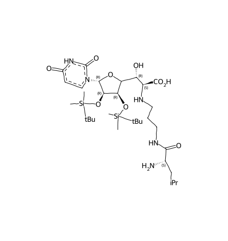 CC(C)C[C@H](N)C(=O)NCCCN[C@H](C(=O)O)[C@@H](O)C1O[C@@H](n2ccc(=O)[nH]c2=O)[C@H](O[Si](C)(C)C(C)(C)C)[C@@H]1O[Si](C)(C)C(C)(C)C